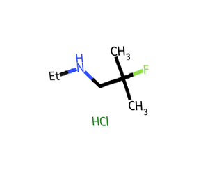 CCNCC(C)(C)F.Cl